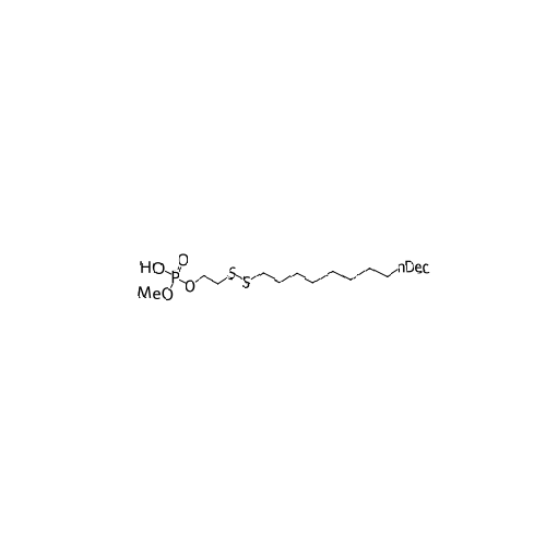 CCCCCCCCCCCCCCCCCCSSCCOP(=O)(O)OC